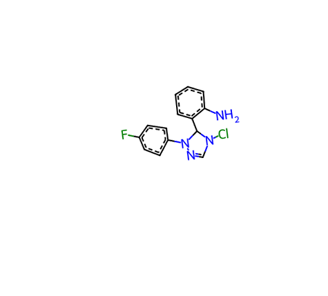 Nc1ccccc1C1N(Cl)C=NN1c1ccc(F)cc1